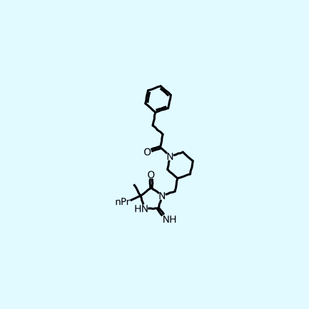 CCCC1(C)NC(=N)N(CC2CCCN(C(=O)CCc3ccccc3)C2)C1=O